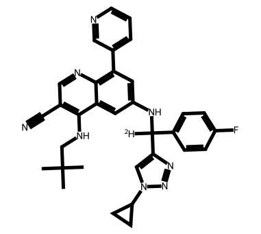 [2H]C(Nc1cc(-c2cccnc2)c2ncc(C#N)c(NCC(C)(C)C)c2c1)(c1ccc(F)cc1)c1cn(C2CC2)nn1